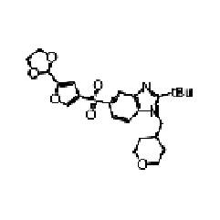 CC(C)(C)c1nc2cc(S(=O)(=O)c3coc(C4OCCO4)c3)ccc2n1CC1CCOCC1